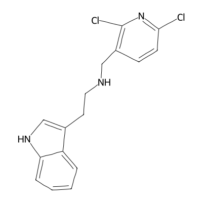 Clc1ccc(CNCCc2c[nH]c3ccccc23)c(Cl)n1